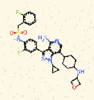 Nc1ncc(C2CCC(NC3COC3)CC2)c2c1c(-c1ccc(NS(=O)(=O)Cc3ccccc3F)c(F)c1)nn2C1CC1